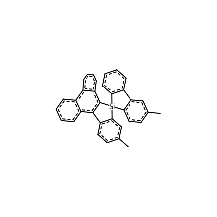 Cc1ccc2c(c1)-c1ccccc1[Si]21c2cc(C)ccc2-c2c1c1ccccc1c1ccccc21